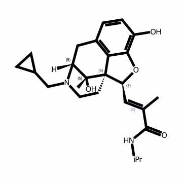 C/C(=C\[C@@H]1Oc2c(O)ccc3c2[C@@]12CCN(CC1CC1)[C@H](C3)[C@@]2(C)O)C(=O)NC(C)C